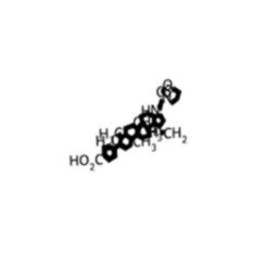 C=C[C@@H]1CC[C@]2(NCCN3CCCCS3(=O)=O)CC[C@]3(C)[C@H](CCC4[C@@]5(C)CC=C(c6ccc(C(=O)O)cc6)C(C)(C)C5CC[C@]43C)C12